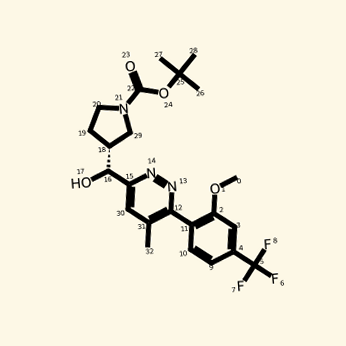 COc1cc(C(F)(F)F)ccc1-c1nnc(C(O)[C@@H]2CCN(C(=O)OC(C)(C)C)C2)cc1C